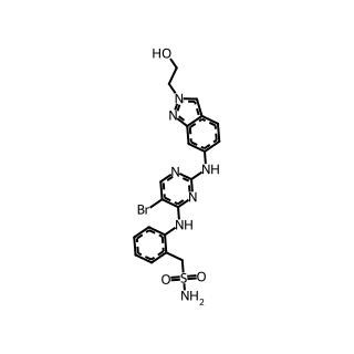 NS(=O)(=O)Cc1ccccc1Nc1nc(Nc2ccc3cn(CCO)nc3c2)ncc1Br